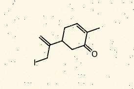 C=C(CI)C1CC=C(C)C(=O)C1